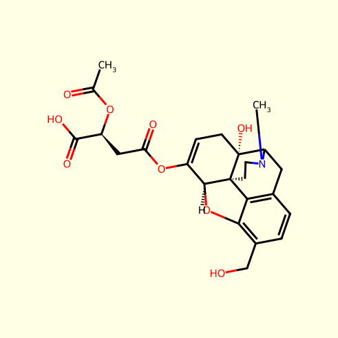 CC(=O)O[C@@H](CC(=O)OC1=CC[C@@]2(O)C3Cc4ccc(CO)c5c4[C@@]2(CCN3C)[C@H]1O5)C(=O)O